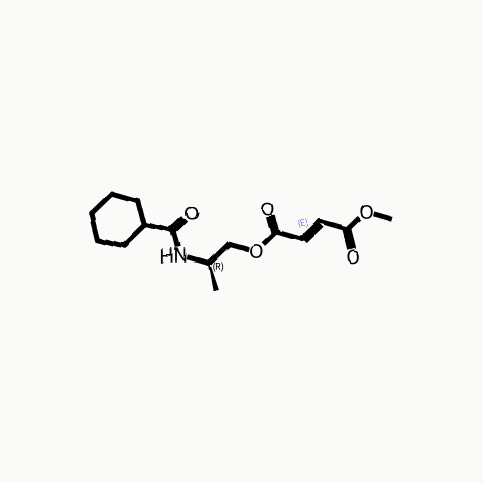 COC(=O)/C=C/C(=O)OC[C@@H](C)NC(=O)C1CCCCC1